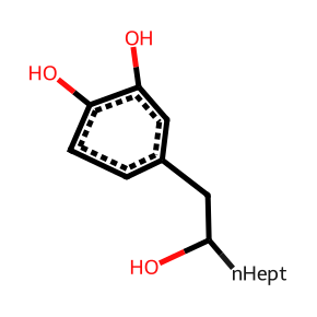 CCCCCCCC(O)Cc1ccc(O)c(O)c1